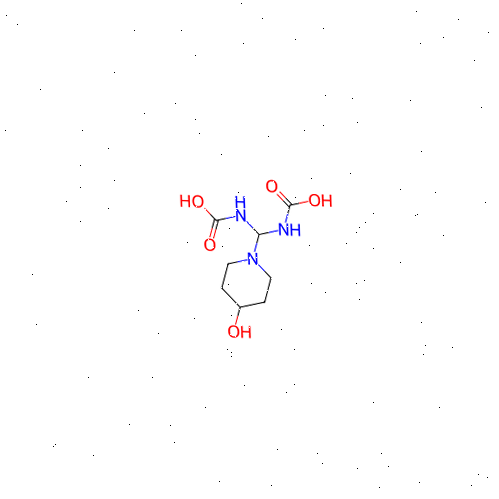 O=C(O)NC(NC(=O)O)N1CCC(O)CC1